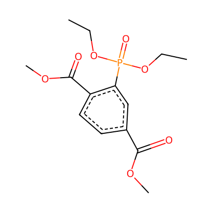 CCOP(=O)(OCC)c1cc(C(=O)OC)ccc1C(=O)OC